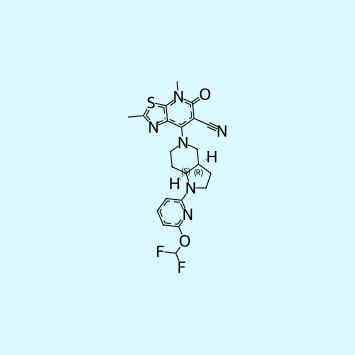 Cc1nc2c(N3CC[C@H]4[C@H](CCN4c4cccc(OC(F)F)n4)C3)c(C#N)c(=O)n(C)c2s1